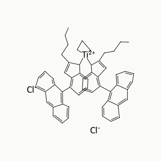 CCCCC1=Cc2c(-c3c4ccccc4cc4ccccc34)cccc2[CH]1[Ti+2]1([CH]2C(CCCC)=Cc3c(-c4c5ccccc5cc5ccccc45)cccc32)[CH2]C[CH2]1.[Cl-].[Cl-]